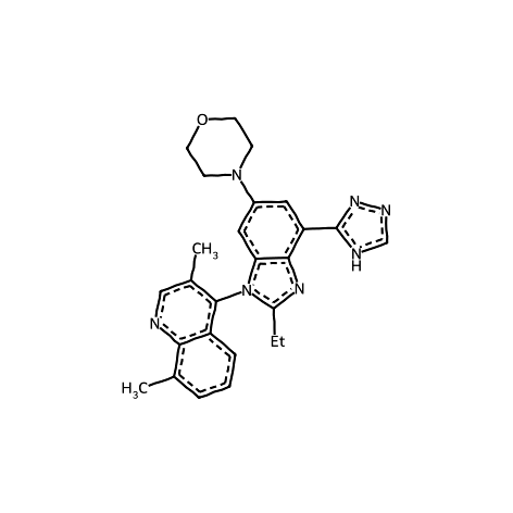 CCc1nc2c(-c3nnc[nH]3)cc(N3CCOCC3)cc2n1-c1c(C)cnc2c(C)cccc12